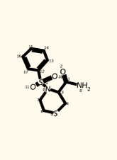 NC(=O)C1CSCCN1S(=O)(=O)c1ccccc1